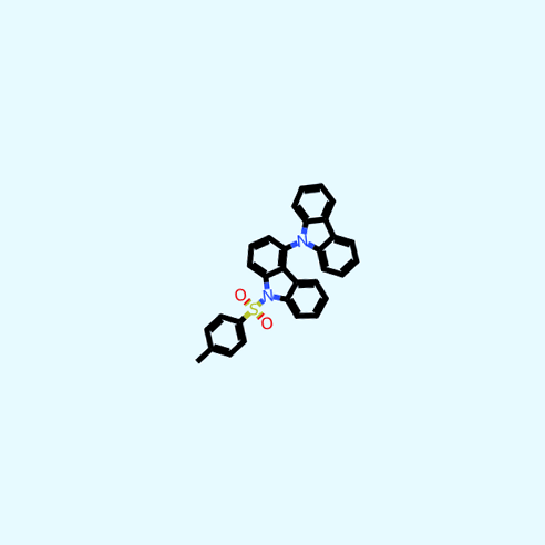 Cc1ccc(S(=O)(=O)n2c3ccccc3c3c(-n4c5ccccc5c5ccccc54)cccc32)cc1